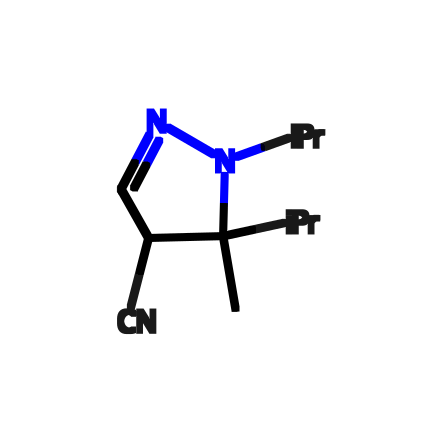 CC(C)N1N=CC(C#N)C1(C)C(C)C